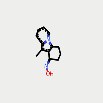 Cc1c2c(n3ccccc13)CCCC2=NO